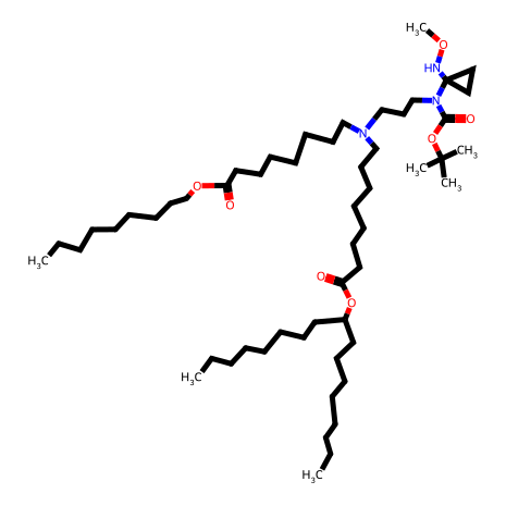 CCCCCCCCCOC(=O)CCCCCCCN(CCCCCCCC(=O)OC(CCCCCCCC)CCCCCCCC)CCCN(C(=O)OC(C)(C)C)C1(NOC)CC1